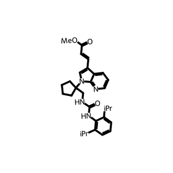 COC(=O)C=Cc1cn(C2(CNC(=O)Nc3c(C(C)C)cccc3C(C)C)CCCC2)c2ncccc12